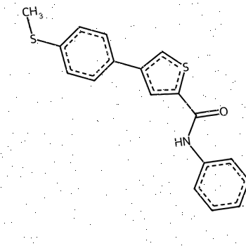 CSc1ccc(-c2csc(C(=O)Nc3cc[c]cc3)c2)cc1